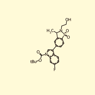 CC1c2cc(-c3cn(C(=O)OC(C)(C)C)c4cc(F)ccc34)ccc2S(=O)(=O)N1CCO